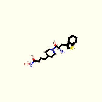 N[C@H](Cc1csc2ccccc12)C(=O)N1CCC(CCCC(=O)NO)CC1